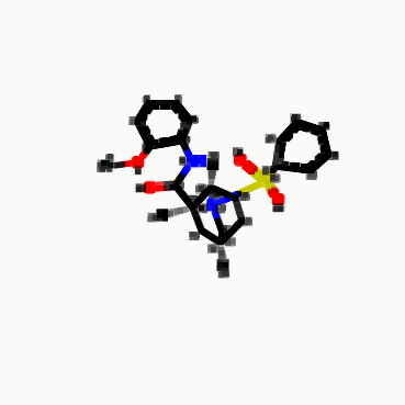 CC(C)Oc1ccccc1NC(=O)[C@@H]1C[C@@H]2CC[C@H]1N(S(=O)(=O)c1ccccc1)C2